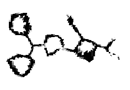 N#Cc1cc(C(N)=O)ccc1N1CCN(C(c2ccccc2)c2ccccc2)CC1